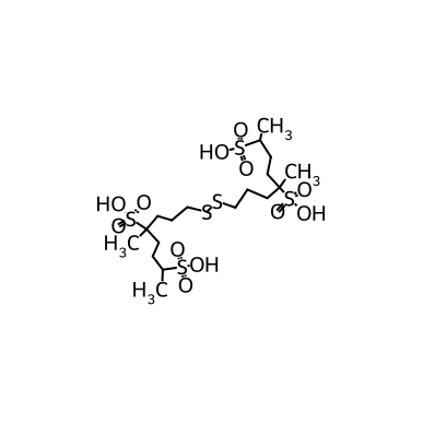 CC(CCC(C)(CCCSSCCCC(C)(CCC(C)S(=O)(=O)O)S(=O)(=O)O)S(=O)(=O)O)S(=O)(=O)O